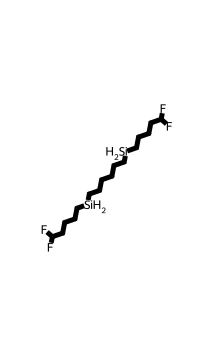 FC(F)CCCC[SiH2]CCCCCC[SiH2]CCCCC(F)F